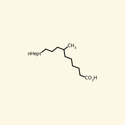 CCCCCCCCCCC(C)CCCCCC(=O)O